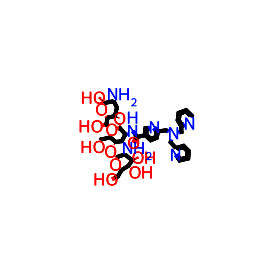 NC1C[C@H](O[C@@H]2OC(CO)[C@@H](O[C@@H]3OC(CO)[C@@H](O)[C@H](O)C3N)CC2NC(=O)c2ccc(CN(Cc3ccccn3)Cc3ccccn3)nc2)C(CO)O[C@H]1O